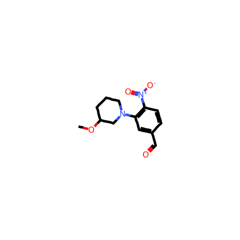 COC1CCCN(c2cc(C=O)ccc2[N+](=O)[O-])C1